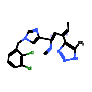 C=N/C(=C\C(=C/C)c1nn[nH]c1C(F)(F)F)c1cn(Cc2cccc(Cl)c2Cl)cn1